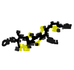 CCC(C)c1c(-c2ccc(C(C)(C)C)s2)sc2c1sc1c(S)c([C@H](C)C(C)C=O)sc12